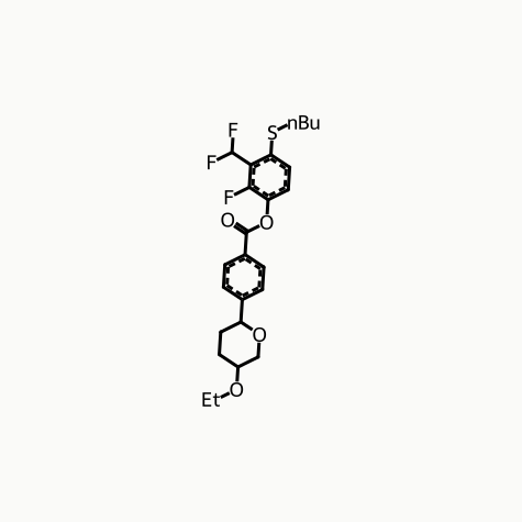 CCCCSc1ccc(OC(=O)c2ccc(C3CCC(OCC)CO3)cc2)c(F)c1C(F)F